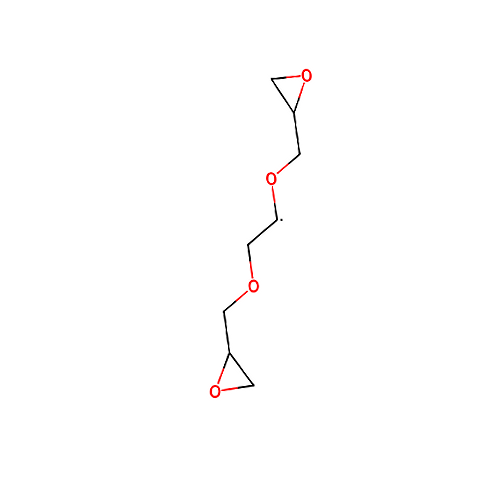 [CH](COCC1CO1)OCC1CO1